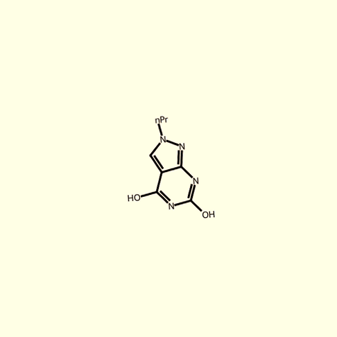 CCCn1cc2c(O)nc(O)nc2n1